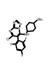 CC(C)(C)C1CCC(Nc2c(-c3c(F)cc(F)cc3F)c(Cl)nc3ncnn23)CC1